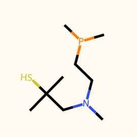 CN(CCP(C)C)CC(C)(C)S